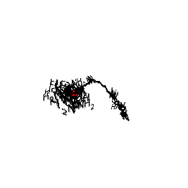 CN1CCN(c2ccc3nc(-c4ccc(OCc5cn(CCCCCCCCn6cc(CCCCc7cn(CC8OC(OC9[C@H](O[C@H]%10OC(CN)[C@@H](O)[C@H](O)C%10N)C(N)C[C@@H](N)[C@H]9O)[C@@H](O)[C@H]8O[C@H]8OC(CN)[C@@H](O)C(O)C8N)nn7)nn6)nn5)cc4)[nH]c3c2)CC1